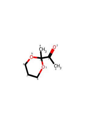 CC(=O)C1(C)OCCCO1